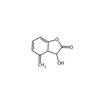 C=C1C=CC=C2OC(=O)C(O)C12